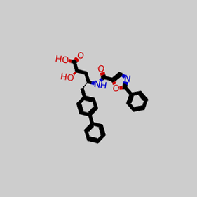 O=C(N[C@H](Cc1ccc(-c2ccccc2)cc1)C[C@@H](O)C(=O)O)c1cnc(-c2ccccc2)o1